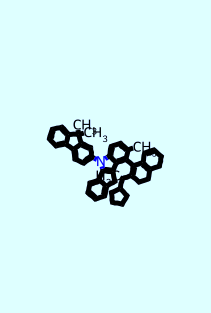 Cc1ccc2c(c3c(n2-c2ccc4c(c2)C(C)(C)c2ccccc2-4)-c2ccccc2C3)c1C1=C(C(C)C2CCCC2)CCC2=C1C=CCC2